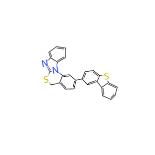 c1ccc2c(c1)nc1n2-c2cc(-c3ccc4sc5ccccc5c4c3)ccc2CS1